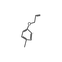 C=CCOc1[c]cc(C)cc1